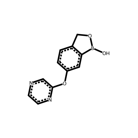 OB1OCc2ccc(Oc3cnccn3)cc21